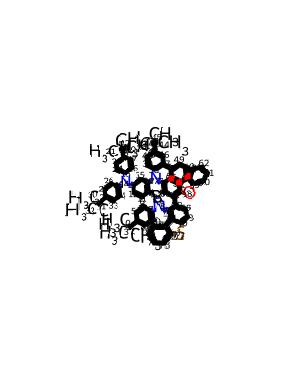 CC(C)(C)c1ccc(N2B3c4ccc(N(c5ccc(C(C)(C)C)cc5)c5ccc(C(C)(C)C)cc5)cc4N(c4ccc(C(C)(C)C)cc4-c4ccccc4)c4cc5c(oc6ccccc65)c(c43)-c3ccc4sc5ccccc5c4c32)cc1